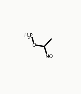 CC(N=O)OP